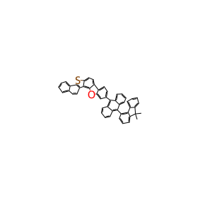 CC1(C)c2ccccc2-c2c(-c3c4ccccc4c(-c4ccc5c(c4)oc4c5ccc5sc6c7ccccc7ccc6c54)c4ccccc34)cccc21